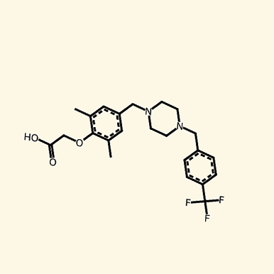 Cc1cc(CN2CCN(Cc3ccc(C(F)(F)F)cc3)CC2)cc(C)c1OCC(=O)O